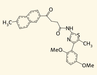 COc1ccc(OC)c(-c2nc(NC(=O)CCC(=O)c3ccc4cc(C)ccc4c3)sc2C)c1